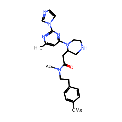 COc1ccc(CCN(C(C)=O)C(=O)CC2CNCCN2c2cc(C)nc(-n3ccnc3)n2)cc1